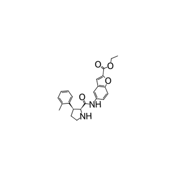 CCOC(=O)c1cc2cc(NC(=O)[C@H]3NCC[C@H]3c3ccccc3C)ccc2o1